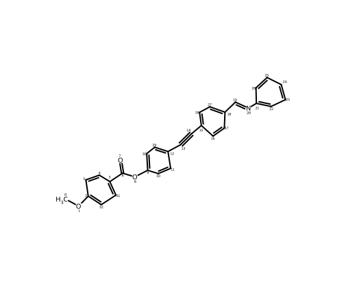 COc1ccc(C(=O)Oc2ccc(C#Cc3ccc(/C=N/c4ccccc4)cc3)cc2)cc1